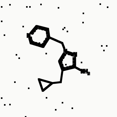 Nc1nn(Cc2ccncc2)cc1CC1CC1